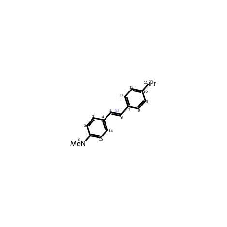 CNc1ccc(/C=C/c2ccc(C(C)C)cc2)cc1